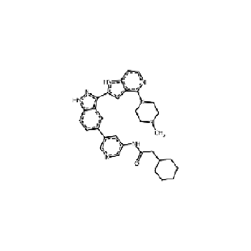 CN1CCN(c2nccc3[nH]c(-c4n[nH]c5ccc(-c6cncc(NC(=O)CC7CCCCC7)c6)cc45)cc23)CC1